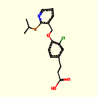 CC(C)Sc1ncccc1COc1ccc(CCC(=O)O)cc1Cl